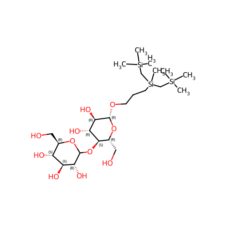 C[Si](C)(C)C[Si](C)(CCCO[C@@H]1O[C@H](CO)[C@@H](OC2O[C@H](CO)[C@@H](O)[C@H](O)[C@H]2O)[C@H](O)[C@H]1O)C[Si](C)(C)C